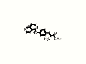 COC(=O)[C@@H](N)Cc1ccc(Nc2nccc3cnccc23)cc1